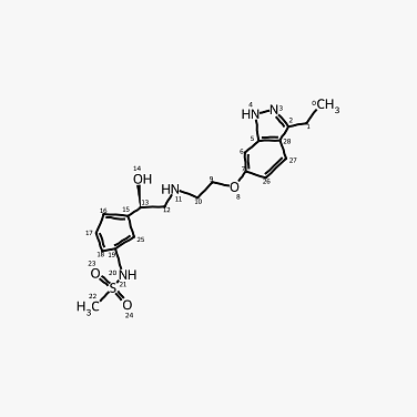 CCc1n[nH]c2cc(OCCNC[C@H](O)c3cccc(NS(C)(=O)=O)c3)ccc12